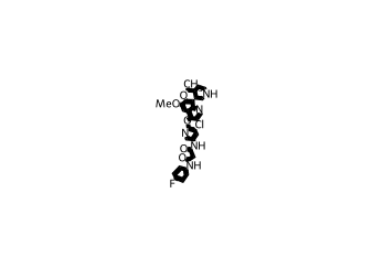 COc1cc2c(Oc3ncc(NC(=O)CC(=O)Nc4ccc(F)cc4)cc3Cl)ccnc2cc1OC(C)C1CCNCC1